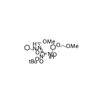 COCCCOc1cc(C(=O)N(C[C@@H]2CN(C(=O)OC(C)(C)C)C[C@H]2CN(C(=O)NCc2ccccc2)C2CC2)C(C)C)ccc1OC